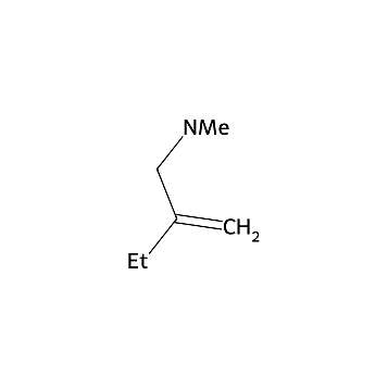 C=C(CC)CNC